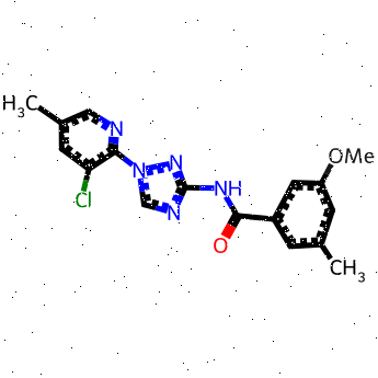 COc1cc(C)cc(C(=O)Nc2ncn(-c3ncc(C)cc3Cl)n2)c1